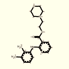 Cc1cccc(Nc2ncccc2C(=O)OCCN2CCOCC2)c1C